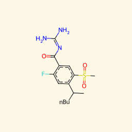 CCCCC(C)c1cc(F)c(C(=O)N=C(N)N)cc1S(C)(=O)=O